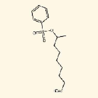 CCCCCCCCCCCCCCCCC(C)OS(=O)(=O)c1ccccc1